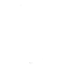 COC(=O)c1ccc(OCc2cccc(C(C)=O)c2)cc1